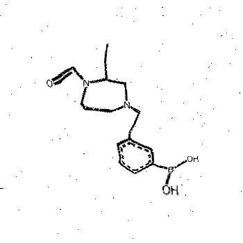 CC1CN(Cc2cccc(B(O)O)c2)CCN1C=O